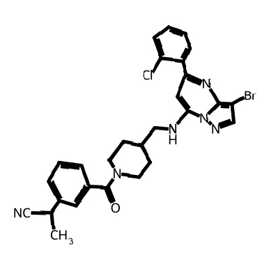 CC(C#N)c1cccc(C(=O)N2CCC(CNc3cc(-c4ccccc4Cl)nc4c(Br)cnn34)CC2)c1